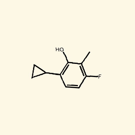 Cc1c(F)ccc(C2CC2)c1O